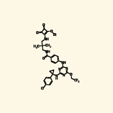 CCOc1c(NCC(C)(C)CNC(=O)c2ccc(Nc3nc(NC4(c5ccc(Cl)cc5)CC4)nc(OCC(F)(F)F)n3)cc2)c(=O)c1=O